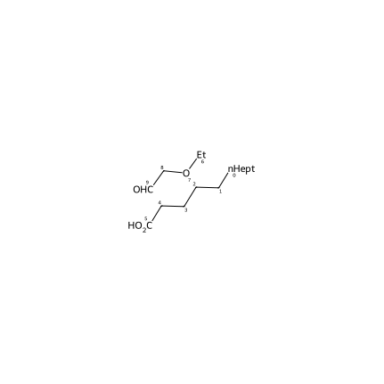 CCCCCCCCCCCC(=O)O.CCOCC=O